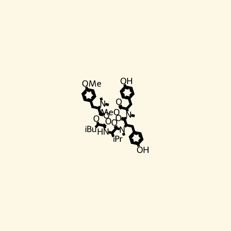 CCC(C)C(OC(=O)C(Cc1ccc(OC)cc1)N(C)C)C(=O)NC(C(=O)N(C)C(Cc1ccc(O)cc1)C(=O)N(C)C(Cc1ccc(O)cc1)C(=O)OC)C(C)C